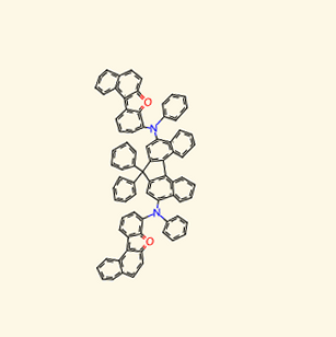 c1ccc(N(c2cc3c(c4ccccc24)-c2c(cc(N(c4ccccc4)c4cccc5c4oc4ccc6ccccc6c45)c4ccccc24)C3(c2ccccc2)c2ccccc2)c2cccc3c2oc2ccc4ccccc4c23)cc1